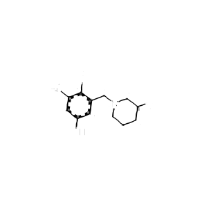 O=Cc1cc(Br)c(O)c(CN2CCCC(O)C2)c1